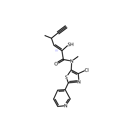 C#CC(C)/C=C(\S)C(=O)N(C)c1sc(-c2cccnc2)nc1Cl